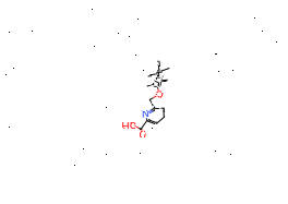 CC(C)(C)[Si](C)(C)OCc1cccc(C(=O)O)n1